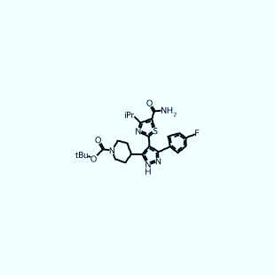 CC(C)c1nc(-c2c(-c3ccc(F)cc3)n[nH]c2C2CCN(C(=O)OC(C)(C)C)CC2)sc1C(N)=O